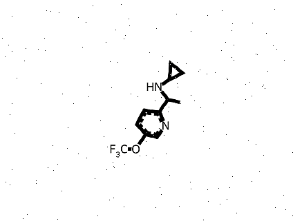 CC(NC1CC1)c1ccc(OC(F)(F)F)cn1